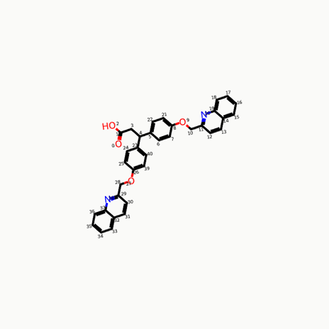 O=C(O)CC(c1ccc(OCc2ccc3ccccc3n2)cc1)c1ccc(OCc2ccc3ccccc3n2)cc1